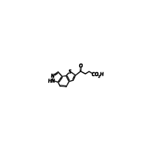 O=C(O)CCC(=O)c1cc2ccc3[nH]ncc3c2s1